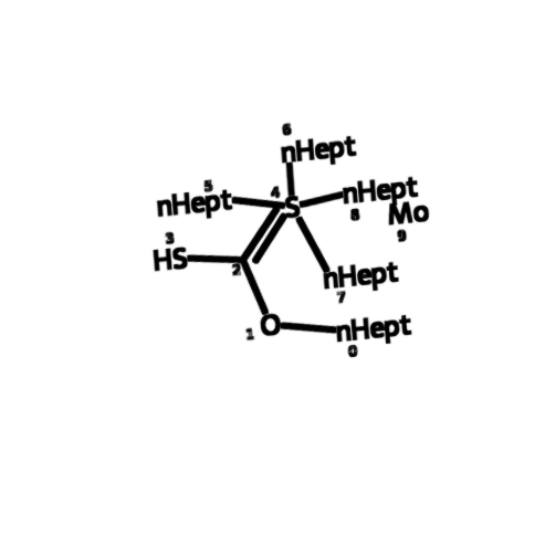 CCCCCCCOC(S)=S(CCCCCCC)(CCCCCCC)(CCCCCCC)CCCCCCC.[Mo]